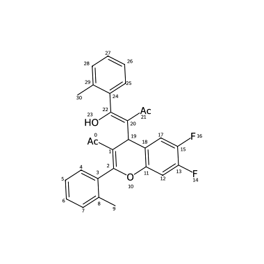 CC(=O)C1=C(c2ccccc2C)Oc2cc(F)c(F)cc2C1/C(C(C)=O)=C(\O)c1ccccc1C